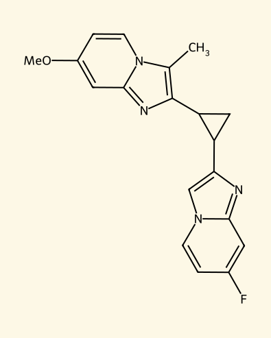 COc1ccn2c(C)c(C3CC3c3cn4ccc(F)cc4n3)nc2c1